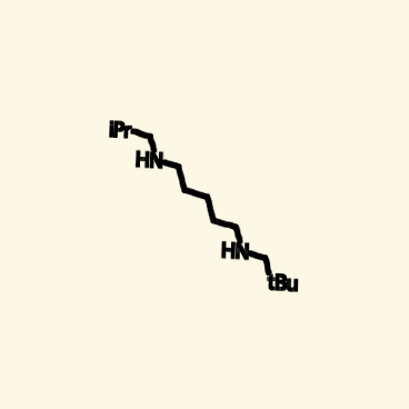 CC(C)CNCCCCCNCC(C)(C)C